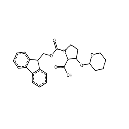 O=C(O)C1C(OC2CCCCO2)CCN1C(=O)OCC1c2ccccc2-c2ccccc21